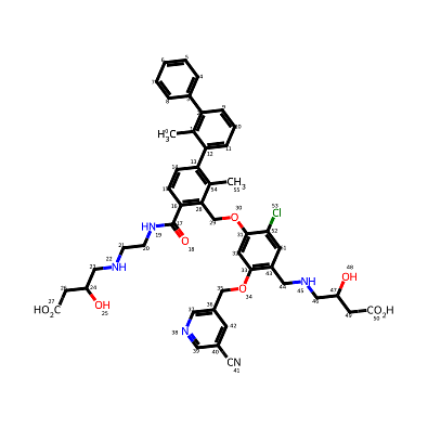 Cc1c(-c2ccccc2)cccc1-c1ccc(C(=O)NCCNCC(O)CC(=O)O)c(COc2cc(OCc3cncc(C#N)c3)c(CNCC(O)CC(=O)O)cc2Cl)c1C